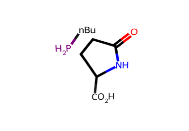 CCCCP.O=C1CCC(C(=O)O)N1